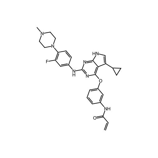 C=CC(=O)Nc1cccc(Oc2nc(Nc3ccc(N4CCN(C)CC4)c(F)c3)nc3[nH]cc(C4CC4)c23)c1